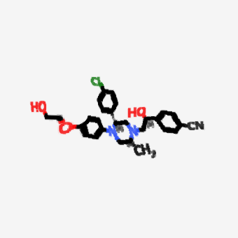 C[C@@H]1CN(c2ccc(OCCO)cc2)[C@H](c2ccc(Cl)cc2)CN1C[C@@H](O)c1ccc(C#N)cc1